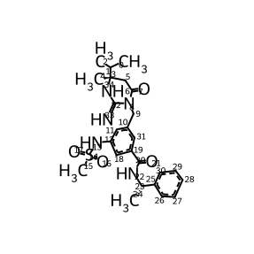 CC(C)[C@]1(C)CC(=O)N(Cc2cc(NS(C)(=O)=O)cc(C(=O)N[C@@H](C)c3ccccc3)c2)C(=N)N1